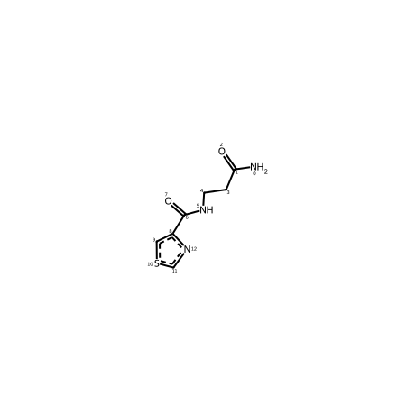 NC(=O)CCNC(=O)c1cscn1